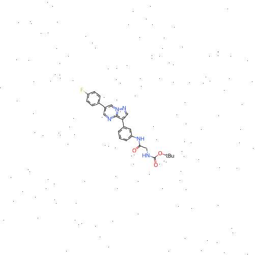 CC(C)(C)OC(=O)NCC(=O)Nc1cccc(-c2cnn3cc(-c4ccc(F)cc4)cnc23)c1